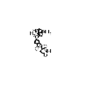 N[C@@]12CCN[C@]1(N)[C@@H](Oc1ccc3c(c1)CN(C1CCC(=O)NC1=O)C3=O)CC2